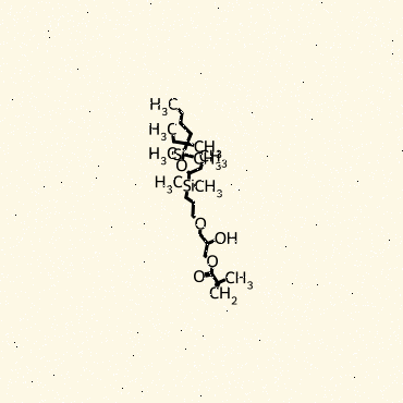 C=C(C)C(=O)OCC(O)COCCC[Si](C)(C)C(CC)O[Si](C)(C)C(C)(CC)CCCC